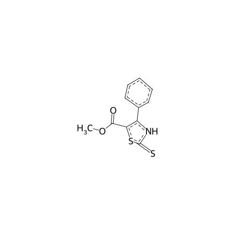 COC(=O)c1sc(=S)[nH]c1-c1ccccc1